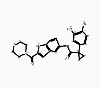 O=C(c1cc2cc(NC(=O)C3(c4ccc(O)c(O)c4)CC3)ccc2[nH]1)N1CCOCC1